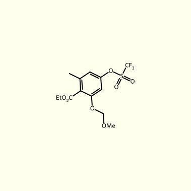 CCOC(=O)c1c(C)cc(OS(=O)(=O)C(F)(F)F)cc1OCOC